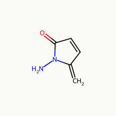 C=C1C=CC(=O)N1N